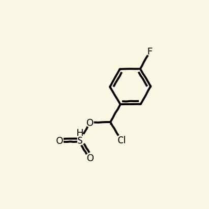 O=[SH](=O)O[C](Cl)c1ccc(F)cc1